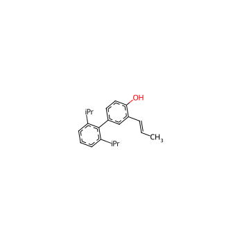 CC=Cc1cc(-c2c(C(C)C)cccc2C(C)C)ccc1O